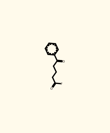 O=C(F)CCCC(=O)c1ccccc1